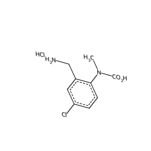 CN(C(=O)O)c1ccc(Cl)cc1CN.Cl